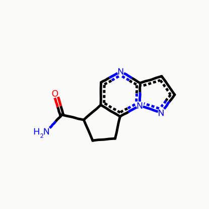 NC(=O)C1CCc2c1cnc1ccnn21